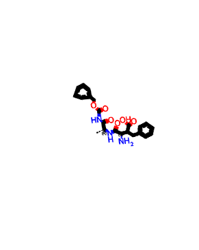 C[C@@H](NC(=O)[C@@H](N)C(Cc1ccccc1)C(=O)O)C(=O)NC(=O)OCc1ccccc1